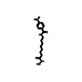 CN(C)c1ccc(C(=O)NCCCCCCCC(=O)NO)cc1